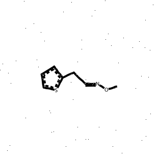 CON=CCc1cccs1